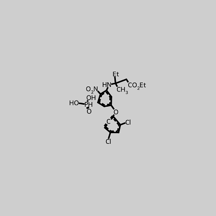 CCOC(=O)CC(C)(CC)Nc1cc(Oc2ccc(Cl)cc2Cl)ccc1[N+](=O)[O-].O=[PH](O)O